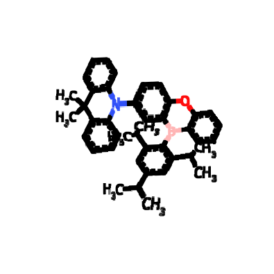 CC(C)c1cc(C(C)C)c(B2c3ccccc3Oc3ccc(N4c5ccccc5C(C)(C)c5ccccc54)cc32)c(C(C)C)c1